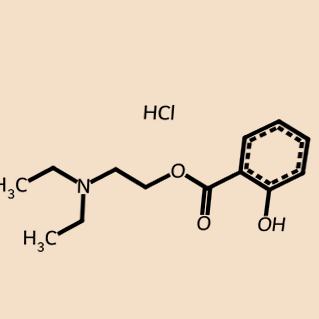 CCN(CC)CCOC(=O)c1ccccc1O.Cl